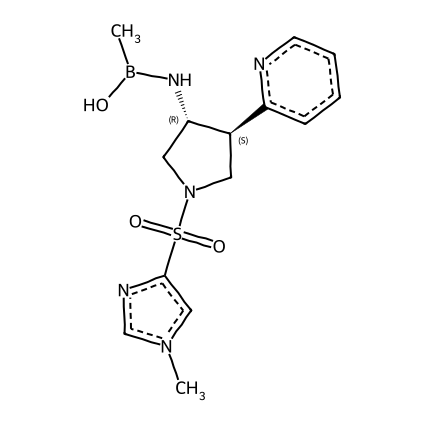 CB(O)N[C@H]1CN(S(=O)(=O)c2cn(C)cn2)C[C@@H]1c1ccccn1